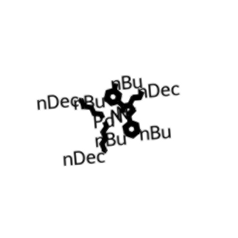 CCCCCCCCCCC=CC1=C(c2cc(CCCC)cc(CCCC)c2)[N+](=[N-])C(c2cc(CCCC)cc(CCCC)c2)=C1.CCCCCCCCCCCCCC[CH2][Pd][CH2]CCCCCCCCCCCCCC